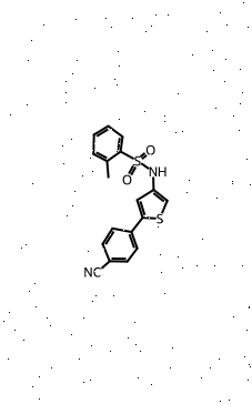 Cc1ccccc1S(=O)(=O)Nc1csc(-c2ccc(C#N)cc2)c1